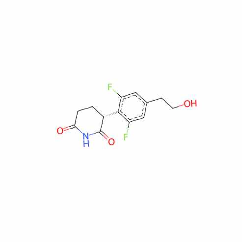 O=C1CC[C@H](c2c(F)cc(CCO)cc2F)C(=O)N1